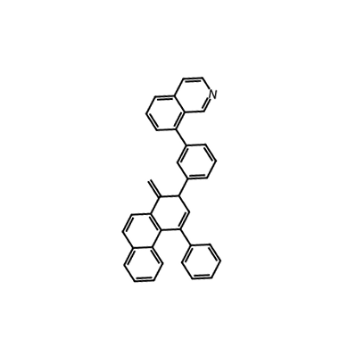 C=C1c2ccc3ccccc3c2C(c2ccccc2)=CC1c1cccc(-c2cccc3ccncc23)c1